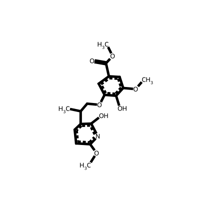 COC(=O)c1cc(OC)c(O)c(OCC(C)c2ccc(OC)nc2O)c1